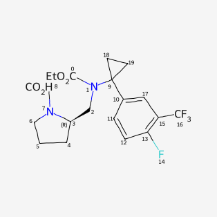 CCOC(=O)N(C[C@H]1CCCN1C(=O)O)C1(c2ccc(F)c(C(F)(F)F)c2)CC1